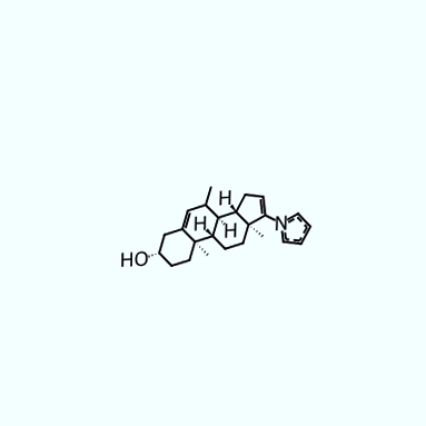 CC1C=C2C[C@@H](O)CC[C@]2(C)[C@H]2CC[C@]3(C)C(n4cccc4)=CC[C@H]3[C@H]12